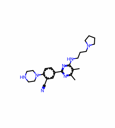 Cc1nc(-c2ccc(N3CCNCC3)c(C#N)c2)nc(NCCCN2CCCC2)c1C